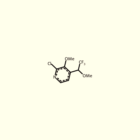 COc1c(C(OC)C(F)(F)F)ccnc1Cl